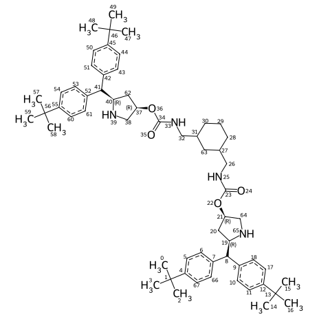 CC(C)(C)c1ccc(C(c2ccc(C(C)(C)C)cc2)[C@H]2C[C@@H](OC(=O)NCC3CCCC(CNC(=O)O[C@H]4CN[C@@H](C(c5ccc(C(C)(C)C)cc5)c5ccc(C(C)(C)C)cc5)C4)C3)CN2)cc1